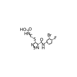 O=C(O)NCCSc1nsnc1C(=O)Nc1ccc(F)c(Br)c1